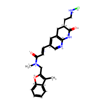 Cc1c(CN(C)C(=O)/C=C/c2cnc3c(c2)C[C@@H](CCNCl)C(=O)N3)oc2ccccc12